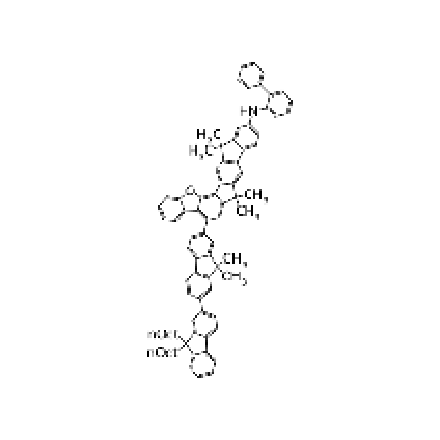 CCCCCCCCC1(CCCCCCCC)c2ccccc2-c2ccc(-c3ccc4c(c3)C(C)(C)c3cc(-c5cc6c(c7oc8ccccc8c57)-c5cc7c(cc5C6(C)C)-c5ccc(Nc6ccccc6-c6ccccc6)cc5C7(C)C)ccc3-4)cc21